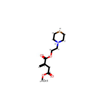 C=C(CC(=O)OCCCCCCCC)C(=O)OCCN1CCSCC1